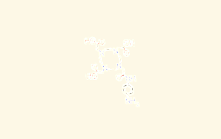 Nc1ccc(NC(=O)CN2CCN(CC(=O)O)CCN(CC(=O)O)CCN(CC(=O)O)CC2)cc1